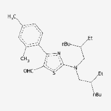 CCCCC(CC)CN(CC(CC)CCCC)c1nc(-c2ccc(C)cc2C)c(C=O)s1